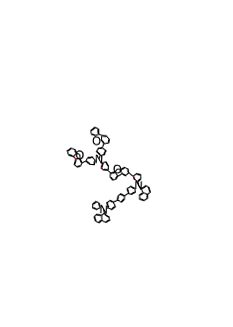 c1ccc(N(c2ccc(-c3ccc(-c4ccc(N(c5cccc(-c6ccc7oc8c(-c9ccc(N(c%10ccc(-c%11cccc%12c%11oc%11ccccc%11%12)cc%10)c%10ccc(-c%11cccc%12c%11oc%11ccccc%11%12)cc%10)cc9)cccc8c7c6)c5)c5cccc6ccccc56)cc4)cc3)cc2)c2cccc3ccccc23)cc1